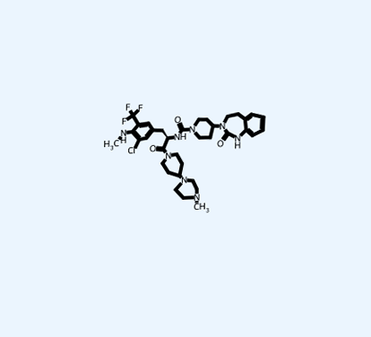 CNc1c(Cl)cc(C[C@@H](NC(=O)N2CCC(N3CCc4ccccc4NC3=O)CC2)C(=O)N2CCC(N3CCN(C)CC3)CC2)cc1C(F)(F)F